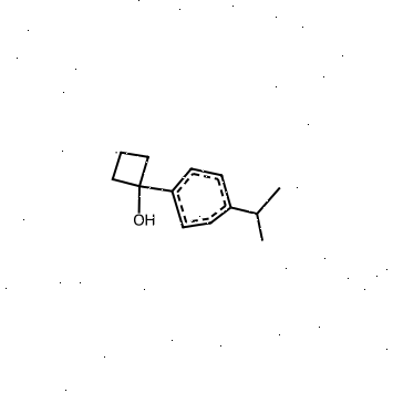 CC(C)c1ccc(C2(O)C[CH]C2)cc1